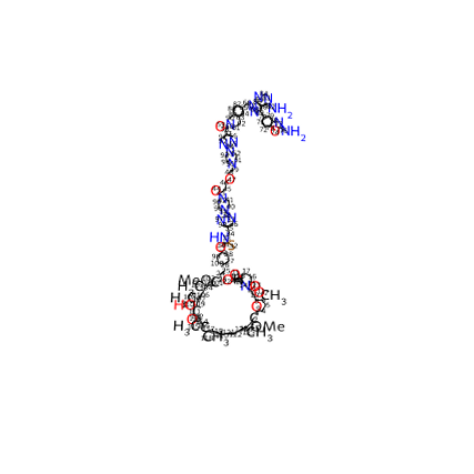 CO[C@H]1CC2CC[C@@H](C)C(O2)C(=O)C(=O)N2CCCC[C@H]2C(=O)O[C@H](CC[C@H]2CC[C@H](OC(=S)NCc3cnc(N4CCN(C(=O)CCOCCN5CCN(c6ncc(C(=O)N7CCc8cc(Cn9nc(-c%10ccc%11oc(N)nc%11c%10)c%10c(N)ncnc%109)ccc8C7)cn6)CC5)CC4)nc3)CC2)C[C@@H](OC)[C@H](C)/C=C(\C)[C@@H](O)CC(=O)[C@H](C)C[C@H](C)/C=C/C=C/C=C/1C